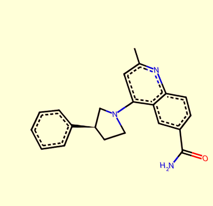 Cc1cc(N2CC[C@@H](c3ccccc3)C2)c2cc(C(N)=O)ccc2n1